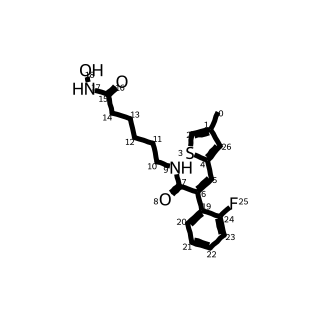 Cc1csc(C=C(C(=O)NCCCCCC(=O)NO)c2ccccc2F)c1